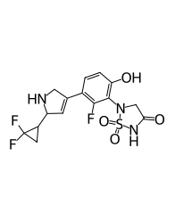 O=C1CN(c2c(O)ccc(C3=CC(C4CC4(F)F)NC3)c2F)S(=O)(=O)N1